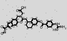 N=C(N)Nc1ccc(C(=O)Oc2ccc3c(c2)CCCC3CC(=O)N(CC(=O)O)Cc2ccc3sc(C(=O)N=O)cc3c2)cc1